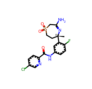 C[C@@]1(c2cc(NC(=O)c3ccc(Cl)cn3)ccc2F)CCS(=O)(=O)CC(N)=N1